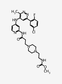 COC(=O)NCCN1CCN(CCC(=O)Nc2cc(Nc3cc(-c4cc(Cl)ccc4F)nnc3C)ccn2)CC1